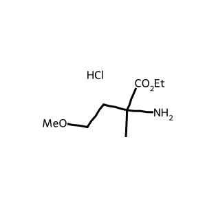 CCOC(=O)C(C)(N)CCOC.Cl